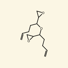 C=CCCC(OC(CCC=C)C1CO1)C1CO1